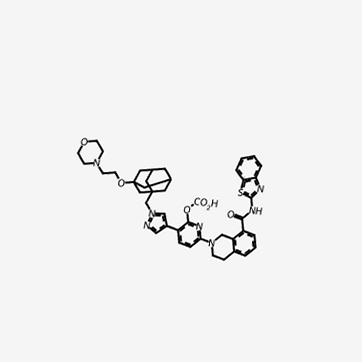 O=C(O)Oc1nc(N2CCc3cccc(C(=O)Nc4nc5ccccc5s4)c3C2)ccc1-c1cnn(CC23CC4CC(C2)CC(OCCN2CCOCC2)(C4)C3)c1